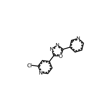 Clc1cc(-c2nnc(-c3cccnc3)o2)ccn1